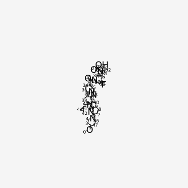 COC1CCN(c2ccc3cc(-c4nn5cc(C(=O)N6C[C@H](F)C[C@@H](N(C(=O)O)C(C)(C)C)C6)ccc5c4C)n(CC4CC4)c3n2)CC1